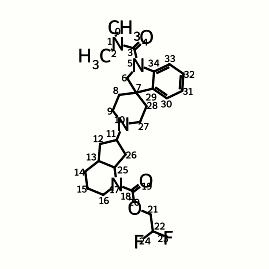 CN(C)C(=O)N1CC2(CCN(C3CC4CCCN(C(=O)OCC(F)F)C4C3)CC2)c2ccccc21